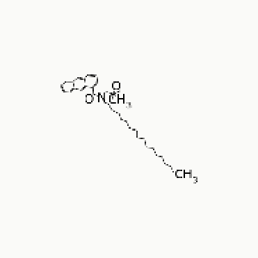 CCCCCCCCCCCCCCCCCCN(CC1(C)CO1)C(=O)c1cccc2cc3ccccc3cc12